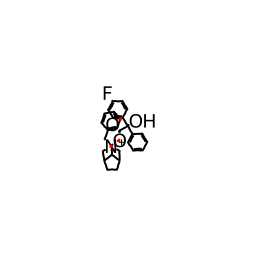 C[N+]1(Cc2ccccc2)CC2CCC(C1)C2COC(=O)C(O)(c1ccccc1)c1ccc(F)cc1